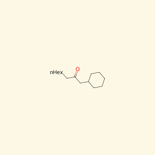 CCCCCCCC(=O)CC1CCCCC1